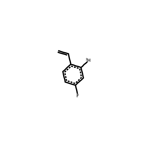 [2H]c1cc(F)ccc1C=C